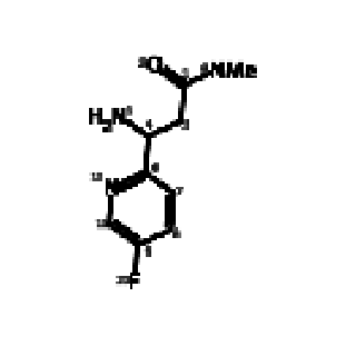 CNC(=O)CC(N)c1ccc(F)cn1